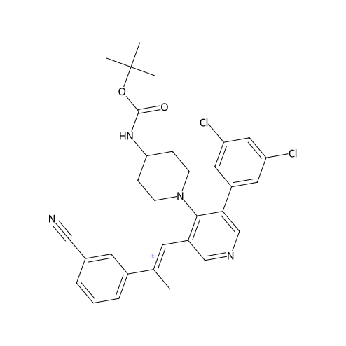 C/C(=C\c1cncc(-c2cc(Cl)cc(Cl)c2)c1N1CCC(NC(=O)OC(C)(C)C)CC1)c1cccc(C#N)c1